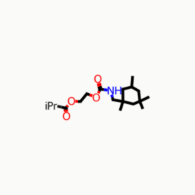 CC1CC(C)(C)CC(C)(CNC(=O)OCCOC(=O)C(C)C)C1